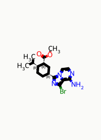 COC(=O)[C@@H]1C[C@H](c2nc(Br)c3c(N)nccn23)CC[C@@H]1C(C)C